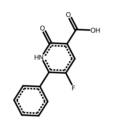 O=C(O)c1cc(F)c(-c2ccccc2)[nH]c1=O